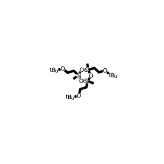 CC(C)(C)OCC[Si]1(C)O[Si](C)(CCOC(C)(C)C)O[Si](C)(CCOC(C)(C)C)O1